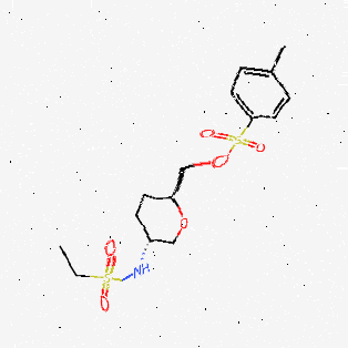 CCS(=O)(=O)N[C@@H]1CC[C@@H](COS(=O)(=O)c2ccc(C)cc2)OC1